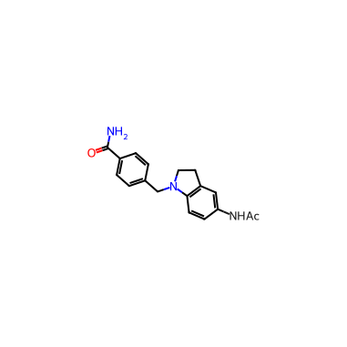 CC(=O)Nc1ccc2c(c1)CCN2Cc1ccc(C(N)=O)cc1